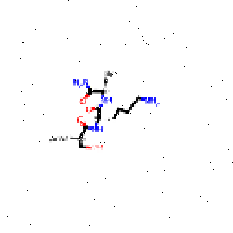 CC(=O)N[C@H](CO)C(=O)N[C@@H](CCCCN)C(=O)N[C@@H](CC(C)C)C(N)=O